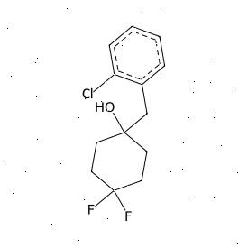 OC1(Cc2ccccc2Cl)CCC(F)(F)CC1